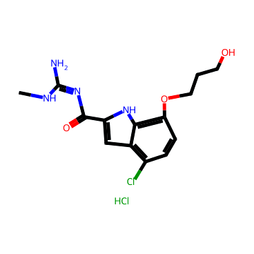 CNC(N)=NC(=O)c1cc2c(Cl)ccc(OCCCO)c2[nH]1.Cl